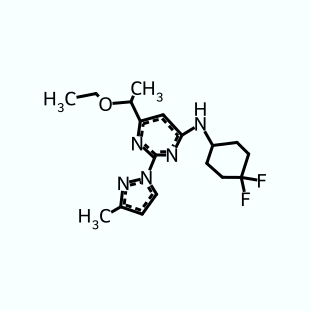 CCOC(C)c1cc(NC2CCC(F)(F)CC2)nc(-n2ccc(C)n2)n1